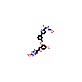 COCCN(C)C(=O)c1ccc(-c2cccc(COc3cc(OC)cc4oc(-c5cn6nc(OC)sc6n5)cc34)c2)cn1